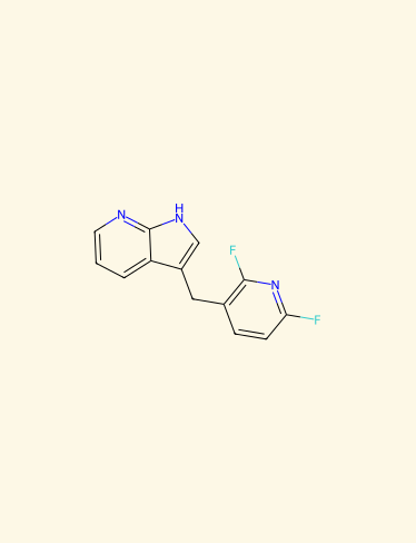 Fc1ccc(Cc2c[nH]c3ncccc23)c(F)n1